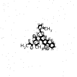 C=C(F)C(=O)N1C[C@@H]2C(=O)N3C[C@H]([C@@H]4CCCN4C)Oc4nc5c(F)c(-c6c(O)cccc6F)c(Cl)cc5c(c43)N2C[C@H]1C